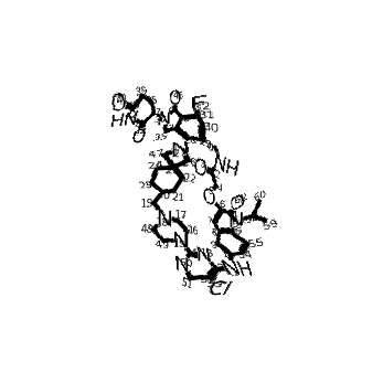 CNC(=O)COc1cc2cc(Nc3nc(N4CCN(CC5CCC6(CC5)CN(c5ccc(F)c7c5CN([C@@H]5CCC(=O)NC5=O)C7=O)C6)CC4)ncc3Cl)ccc2n(C(C)C)c1=O